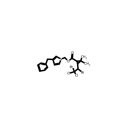 CC1(C)C(C(=O)OCn2ccc(Cc3ccccc3)c2)C1C(Br)C(Cl)(Cl)Br